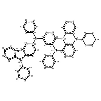 C1=CC(N2c3ccccc3B3c4ccc(N(c5ccccc5)c5ccc6c(c5)c5ccccc5n6-c5ccccc5)cc4N(c4ccccc4)c4cccc2c43)=CCC1